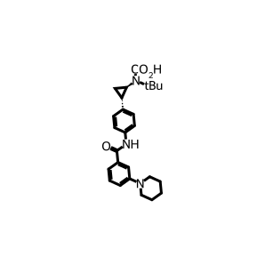 CC(C)(C)N(C(=O)O)[C@@H]1C[C@H]1c1ccc(NC(=O)c2cccc(N3CCCCC3)c2)cc1